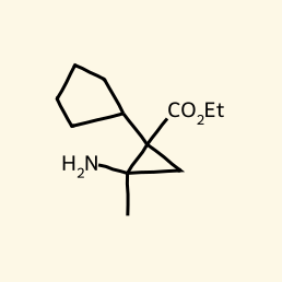 CCOC(=O)C1(C2CCCC2)CC1(C)N